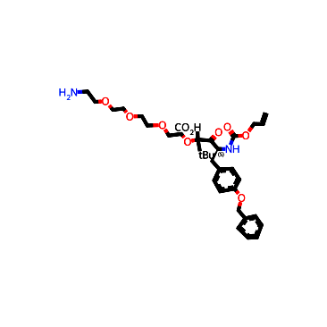 C=CCOC(=O)N[C@@H](Cc1ccc(OCc2ccccc2)cc1)C(=O)C(OCCOCCOCCOCCN)(C(=O)O)C(C)(C)C